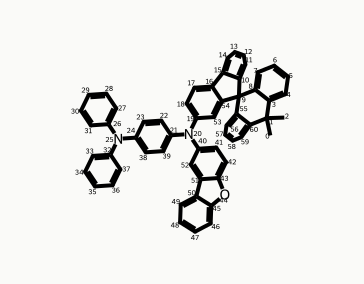 CC1(C)c2ccccc2C2(c3ccccc3-c3ccc(N(c4ccc(N(c5ccccc5)c5ccccc5)cc4)c4ccc5oc6ccccc6c5c4)cc32)c2ccccc21